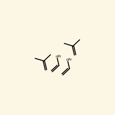 C=C(C)C.C=C(C)C.C=CCCC.C=CCCC